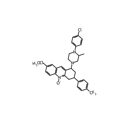 CC1CN(C2CC(c3ccc(C(F)(F)F)cc3)Cc3c2cc2cc(Cl)ccc2[n+]3[O-])CCN1c1ccc(Cl)cc1.O